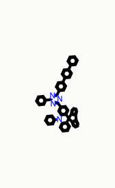 c1ccc(-c2ccc(-c3ccc(-c4nc(-c5ccccc5)nc(-c5ccc6c(c5)N(c5ccccc5)c5ccccc5C65c6ccccc6-c6ccccc65)n4)cc3)cc2)cc1